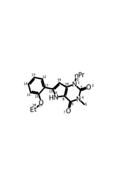 CCCn1c(=O)n(C)c(=O)c2[nH]c(-c3ccccc3OCC)cc21